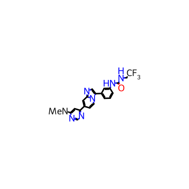 CNc1cc(-c2ccn3c(-c4cccc(NC(=O)NCC(F)(F)F)c4)cnc3c2)ncn1